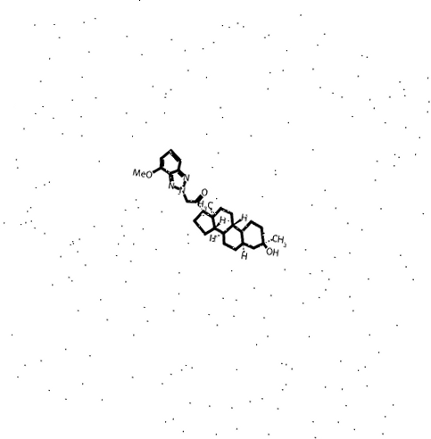 COc1cccc2nn(CC(=O)[C@H]3CC[C@H]4[C@@H]5CC[C@@H]6C[C@](C)(O)CCC6[C@H]5CC[C@]34C)nc12